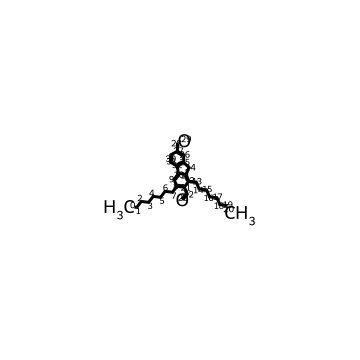 CCCCCCCCc1cc2c(c(CCCCCCCC)c1C=O)Cc1cc(C=O)ccc1-2